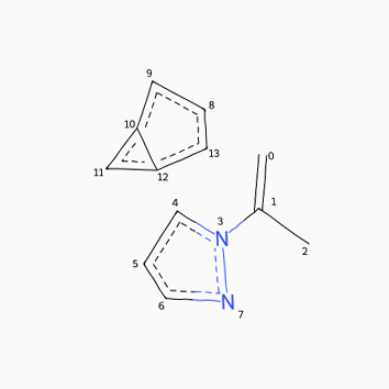 C=C(C)n1cccn1.c1cc2cc-2c1